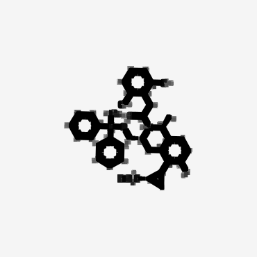 CCOC(=O)[C@H]1CC1c1c(F)ccc2c1C[C@H](CO[Si](c1ccccc1)(c1ccccc1)C(C)(C)C)N(C(=O)Cc1c(Cl)cccc1Cl)[C@H]2C